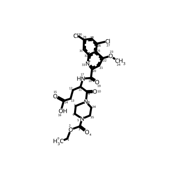 CCOC(=O)N1CCN(C(=O)C(CCC(=O)O)NC(=O)c2cc(OC)c3c(Cl)cc(Cl)cc3n2)CC1